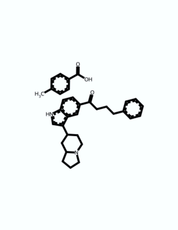 Cc1ccc(C(=O)O)cc1.O=C(CCCc1ccccc1)c1ccc2[nH]cc(C3CCN4CCCC4C3)c2c1